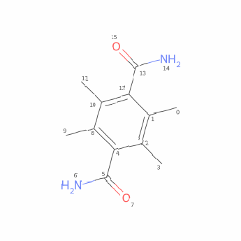 Cc1c(C)c(C(N)=O)c(C)c(C)c1C(N)=O